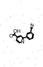 N#Cc1cccc(-c2cc(C(=O)O)ccn2)c1